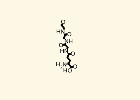 N[C@H](CCC(=O)NCC(=O)NCC(=O)NCC=O)C(=O)O